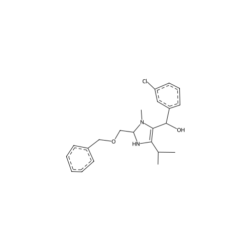 CC(C)C1=C(C(O)c2cccc(Cl)c2)N(C)C(COCc2ccccc2)N1